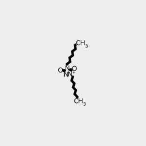 CCCCCCCCN1C(=O)N=[N+](CCCCCCCC)C1=O